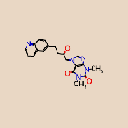 Cn1c(=O)c2c(ncn2CC(=O)CCc2ccc3ncccc3c2)n(C)c1=O